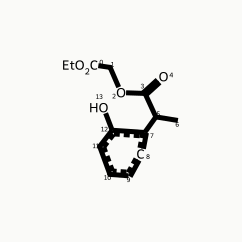 CCOC(=O)COC(=O)C(C)c1ccccc1O